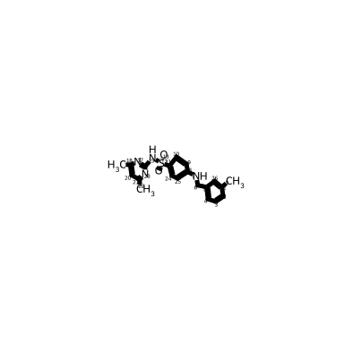 Cc1cccc(CNc2ccc(S(=O)(=O)Nc3nc(C)cc(C)n3)cc2)c1